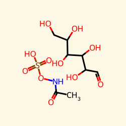 CC(=O)NOS(=O)(=O)O.O=CC(O)C(O)C(O)C(O)CO